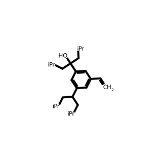 C=Cc1cc(C(CC(C)C)CC(C)C)cc(C(O)(CC(C)C)CC(C)C)c1